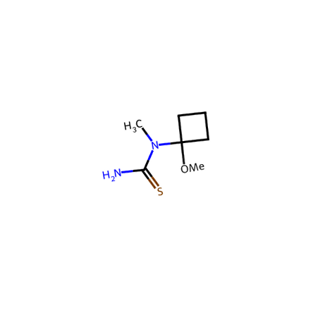 COC1(N(C)C(N)=S)CCC1